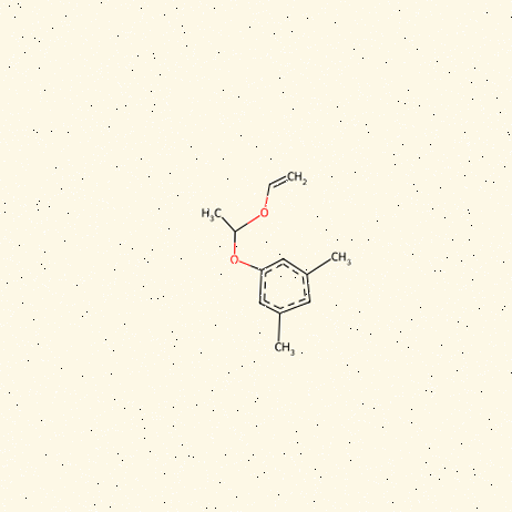 C=COC(C)Oc1cc(C)cc(C)c1